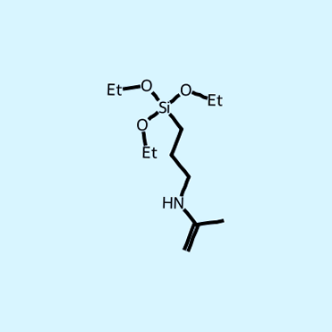 C=C(C)NCCC[Si](OCC)(OCC)OCC